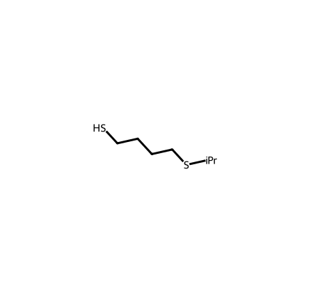 CC(C)SCCCCS